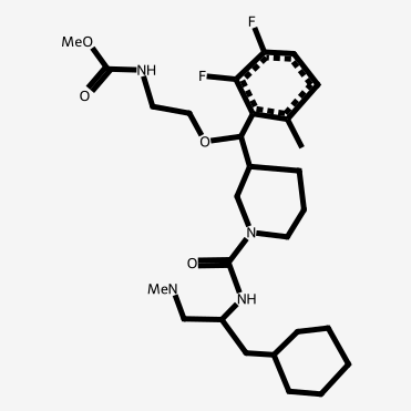 CNCC(CC1CCCCC1)NC(=O)N1CCCC(C(OCCNC(=O)OC)c2c(C)ccc(F)c2F)C1